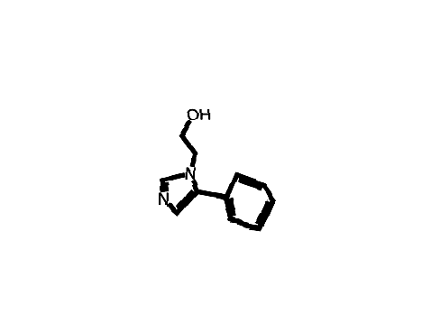 OCCn1cncc1-c1ccccc1